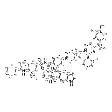 Cc1ccccc1[C@@H]1CN([C@@H](c2ccc(F)c(F)c2)C(C)C)CCN1C1CC2(CCN(c3ccc(C(=O)NS(=O)(=O)c4cc5c(c([N+](=O)[O-])c4)N[C@H](C4CCOCC4)CO5)c(N4c5cc6cc[nH]c6nc5O[C@H]5COCC[C@@H]54)c3)CC2)C1